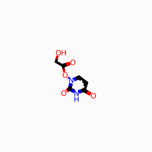 O=C(CO)On1ccc(=O)[nH]c1=O